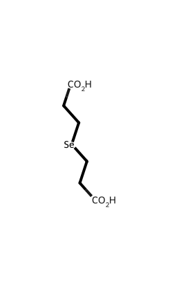 O=C(O)CC[Se]CCC(=O)O